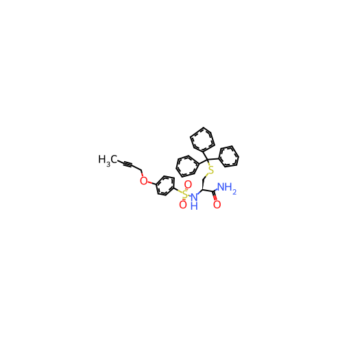 CC#CCOc1ccc(S(=O)(=O)N[C@@H](CSC(c2ccccc2)(c2ccccc2)c2ccccc2)C(N)=O)cc1